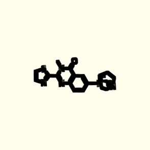 Cn1c(-c2nccs2)nc2ccc(N3CCN4CCC3CC4)cc2c1=O